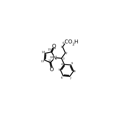 O=C(O)CCC(c1ccccc1)N1C(=O)C=CC1=O